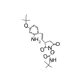 CC(C)(C)NC(=O)ON1C(=O)CC(C=Cc2ccc(OC(C)(C)C)cc2N)C1=O